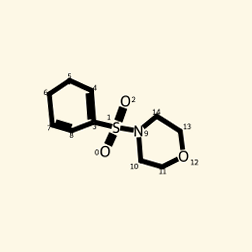 O=S(=O)(C1=C[CH]CC=C1)N1CCOCC1